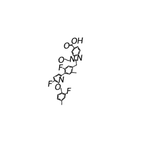 COCCn1c(Cc2cc(F)c(-c3ccc(F)c(OCc4ccc(C)cc4F)n3)cc2C)nc2ccc(C(=O)O)cc21